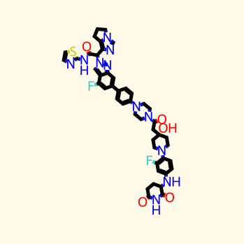 O=C1CCC(Nc2ccc(N3CCC(O)(CC(=O)N4CCN(c5ccc(-c6cc(F)c7cn(C(C(=O)Nc8nccs8)c8ncn9c8CCC9)nc7c6)cc5)CC4)CC3)c(F)c2)C(=O)N1